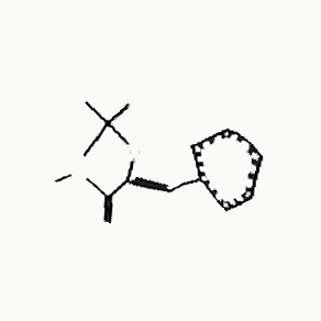 COC(=O)C(=Cc1ccccc1)OC(C)(C)C